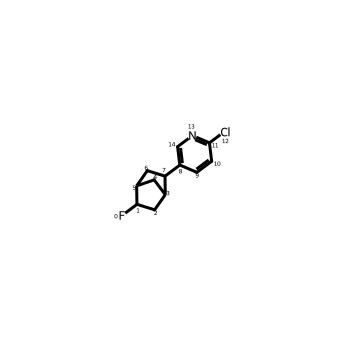 FC1CC2CC1CC2c1ccc(Cl)nc1